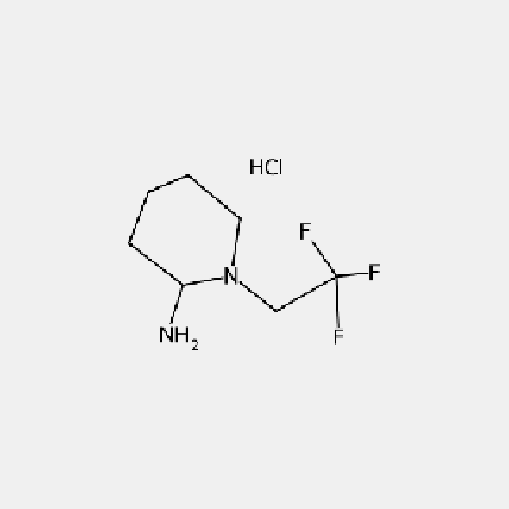 Cl.NC1CCCCN1CC(F)(F)F